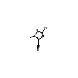 C#Cc1cc(Br)nn1C